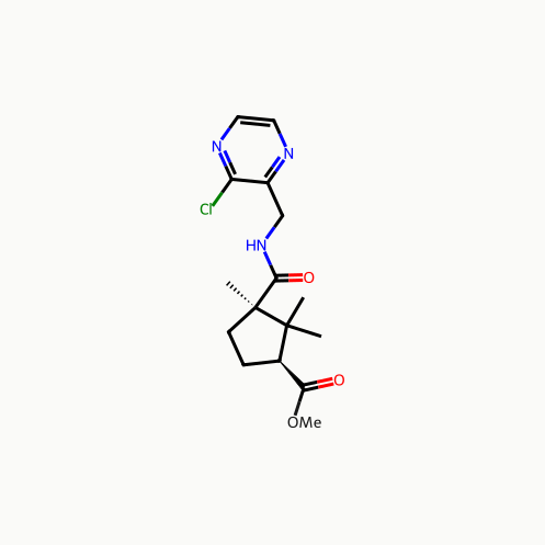 COC(=O)[C@H]1CC[C@@](C)(C(=O)NCc2nccnc2Cl)C1(C)C